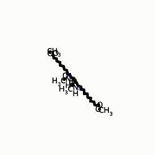 COC(=O)CCCCCCCC/C=C/C(COCC(/C=C/CCCCCCCCC(=O)OC)NC(C)=O)NC(C)=O